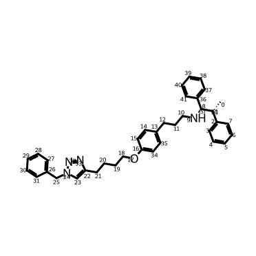 C[C@H](c1ccccc1)[C@H](NCCCc1ccc(OCCCCc2cn(Cc3ccccc3)nn2)cc1)c1ccccc1